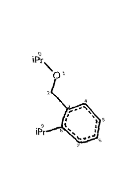 CC(C)OCc1ccccc1C(C)C